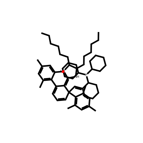 CCCCCCC1NC(=C2C(c3c(C)cc(C)cc3C)=CC=CC2(C=C2CCCCC2P(C2CCCCC2)C2CCCCC2)c2c(C)cc(C)cc2C)NC1CCCCCC